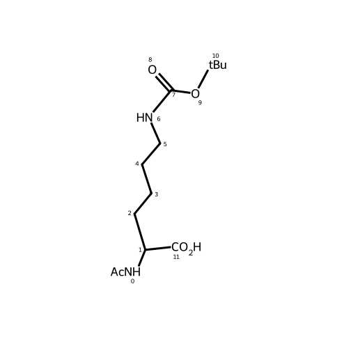 CC(=O)NC(CCCCNC(=O)OC(C)(C)C)C(=O)O